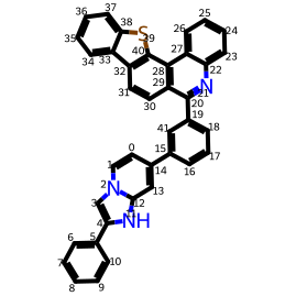 C1=CN2C=C(c3ccccc3)NC2C=C1c1cccc(-c2nc3ccccc3c3c2ccc2c4ccccc4sc23)c1